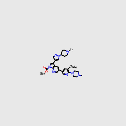 CCN1CCC(n2cc(-c3cn(C(=O)OC(C)(C)C)c4ncc(-c5cnc(N6CCN(C)CC6)c(OC)c5)cc34)cn2)CC1